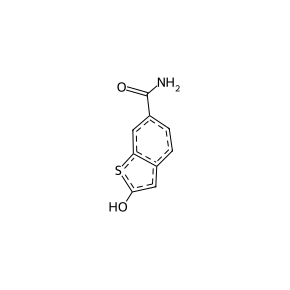 NC(=O)c1ccc2cc(O)sc2c1